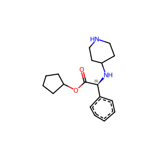 O=C(OC1CCCC1)[C@@H](NC1CCNCC1)c1ccccc1